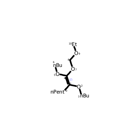 CCCCC/C(OCCCC)=C(\OCCCC)OCOCC